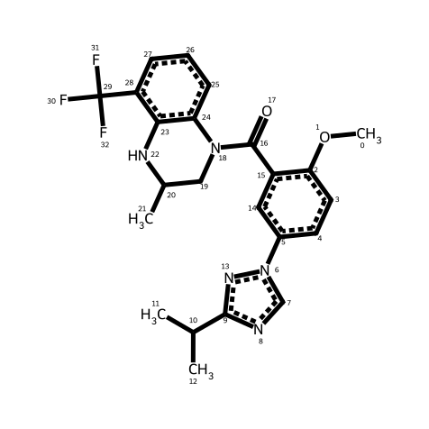 COc1ccc(-n2cnc(C(C)C)n2)cc1C(=O)N1CC(C)Nc2c1cccc2C(F)(F)F